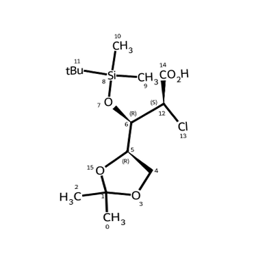 CC1(C)OC[C@H]([C@@H](O[Si](C)(C)C(C)(C)C)[C@H](Cl)C(=O)O)O1